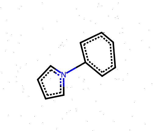 [c]1cccc(-n2cccc2)c1